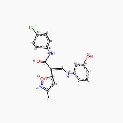 Cc1cc(/C(=C\Nc2cccc(O)c2)C(=O)Nc2ccc(Cl)cc2)on1